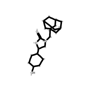 O=C1OC(C2CCC(O)CC2)CN1CC12CC3CC(CC(C3)C1)C2